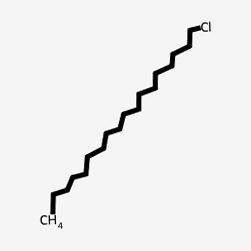 C.CCCCCCCCCCCCCCCCCCCl